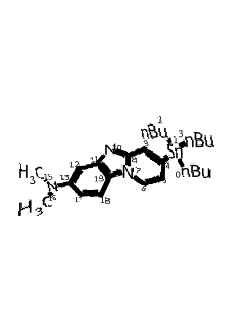 CCC[CH2][Sn]([CH2]CCC)([CH2]CCC)[c]1ccn2c(c1)nc1cc(N(C)C)ccc12